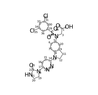 O=C(O)CN(c1ccc2c(c1)CCN2c1ccc(N2CCNC2=O)nn1)S(=O)(=O)c1cc(Cl)cc(Cl)c1